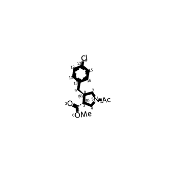 COC(=O)[C@H]1CN(C(C)=O)C[C@@H]1Cc1ccc(Cl)cc1